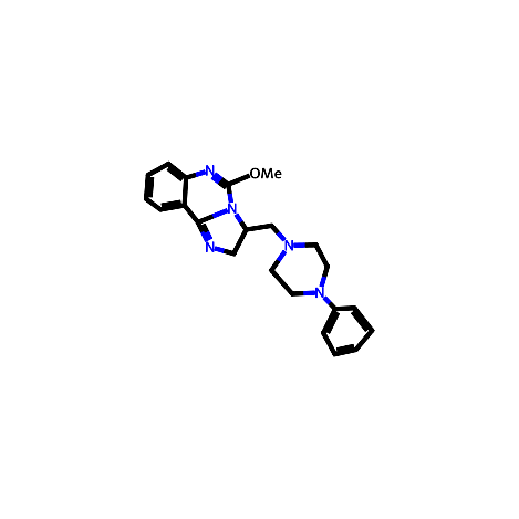 COC1=Nc2ccccc2C2=NCC(CN3CCN(c4ccccc4)CC3)N12